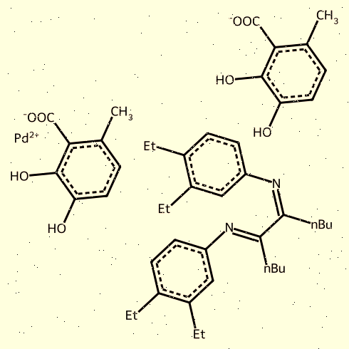 CCCCC(=Nc1ccc(CC)c(CC)c1)C(CCCC)=Nc1ccc(CC)c(CC)c1.Cc1ccc(O)c(O)c1C(=O)[O-].Cc1ccc(O)c(O)c1C(=O)[O-].[Pd+2]